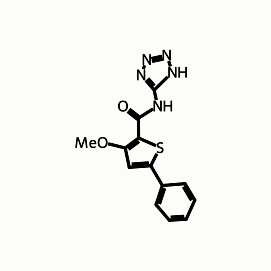 COc1cc(-c2ccccc2)sc1C(=O)Nc1nnn[nH]1